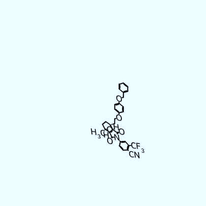 C[C@@]12CC[C@@](CCOc3ccc(OCc4ccccc4)cc3)(O1)[C@H]1C(=O)N(c3ccc(C#N)c(C(F)(F)F)c3)C(=O)[C@H]12